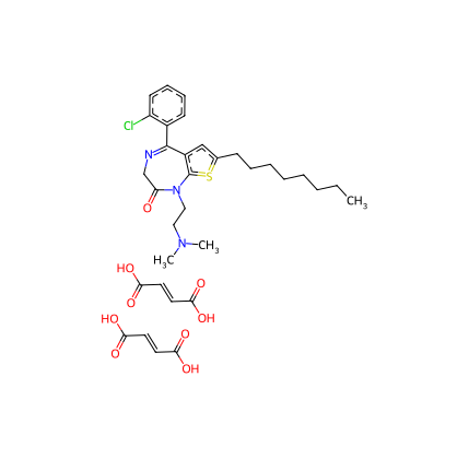 CCCCCCCCc1cc2c(s1)N(CCN(C)C)C(=O)CN=C2c1ccccc1Cl.O=C(O)/C=C/C(=O)O.O=C(O)/C=C/C(=O)O